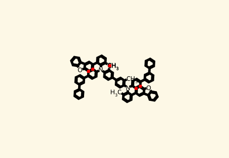 Cc1cc(-c2ccc(N(c3ccc(-c4cccc(-c5ccccc5)c4)cc3)c3c(C)cccc3-c3ccc4oc5ccccc5c4c3)c(C)c2)ccc1N(c1ccc(-c2cccc(-c3ccccc3)c2)cc1)c1c(C)cccc1-c1ccc2oc3ccccc3c2c1